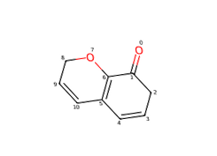 O=C1CC=CC2=C1OCC=C2